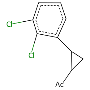 CC(=O)C1CC1c1cccc(Cl)c1Cl